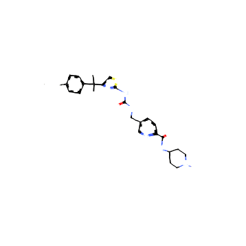 CCCN1CCC(NC(=O)c2ccc(CNC(=O)Nc3nc(C(C)(C)c4ccc(OC)cc4)cs3)cn2)CC1